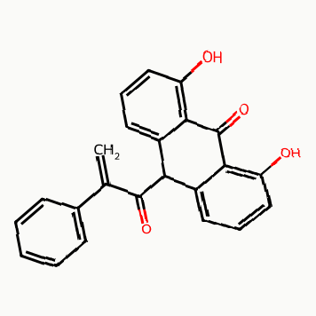 C=C(C(=O)C1c2cccc(O)c2C(=O)c2c(O)cccc21)c1ccccc1